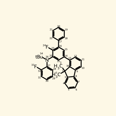 CC1(C)c2ccccc2-c2cccc(-c3cc(-c4ccccc4)c(F)c(N(c4ccccc4F)C(C)(C)C)c3)c21